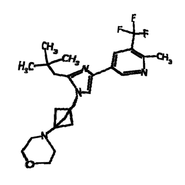 Cc1ncc(-c2cn(C34CC(N5CCOCC5)(C3)C4)c(CC(C)(C)C)n2)cc1C(F)(F)F